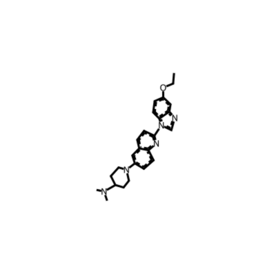 CCOc1ccc2c(c1)ncn2-c1ccc2cc(N3CCC(N(C)C)CC3)ccc2n1